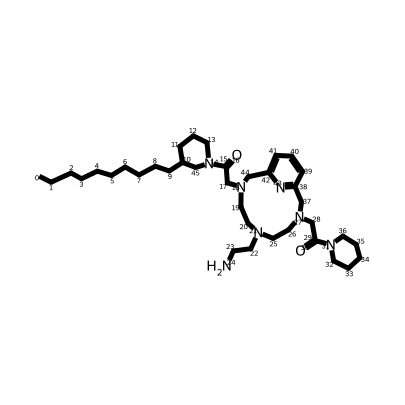 CCCCCCCCCCC1CCCN(C(=O)CN2CCN(CCN)CCN(CC(=O)N3CCCCC3)Cc3cccc(n3)C2)C1